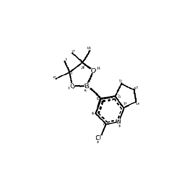 CC1(C)OB(c2cc(Cl)nc3c2CCC3)OC1(C)C